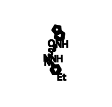 CCc1ccc(-c2nnc(SCC(=O)Nc3ccc4c(c3)CCC4)[nH]2)cc1